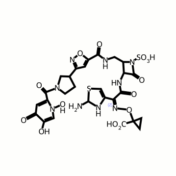 NC1NC(/C(=N/OC2(C(=O)O)CC2)C(=O)NC2C(=O)N(S(=O)(=O)O)C2CNC(=O)c2cc(C3CCN(C(=O)c4cc(=O)c(O)cn4O)C3)no2)=CS1